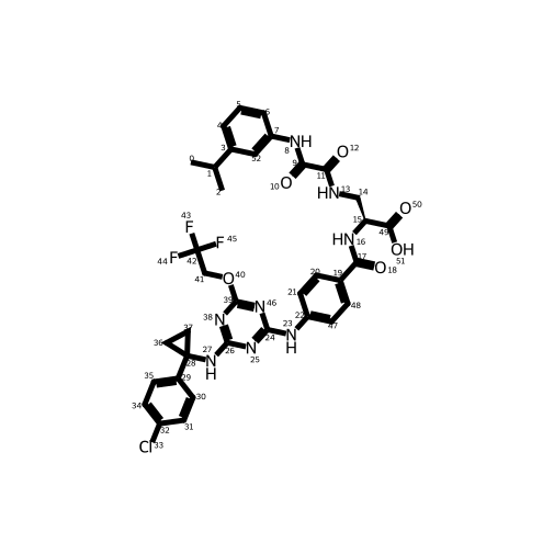 CC(C)c1cccc(NC(=O)C(=O)NC[C@H](NC(=O)c2ccc(Nc3nc(NC4(c5ccc(Cl)cc5)CC4)nc(OCC(F)(F)F)n3)cc2)C(=O)O)c1